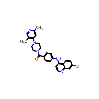 Cc1cc(N2CCN(C(=O)c3ccc(Nc4ccnc5cc(Cl)ccc45)cc3)CC2)c(C)cn1